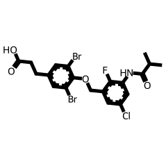 CC(C)C(=O)Nc1cc(Cl)cc(COc2c(Br)cc(CCC(=O)O)cc2Br)c1F